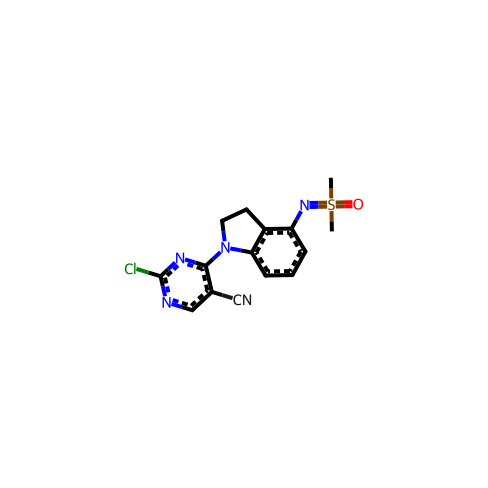 CS(C)(=O)=Nc1cccc2c1CCN2c1nc(Cl)ncc1C#N